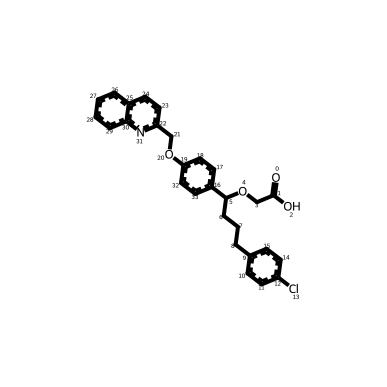 O=C(O)COC(CCCc1ccc(Cl)cc1)c1ccc(OCc2ccc3ccccc3n2)cc1